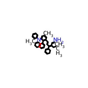 CCCC(/C=C(\C)N)=C(/C=C/c1cc(C)cc(N(C2=C(C)CCC=C2)c2ccccc2)c1-c1ccccc1)C1=CC=CCC1